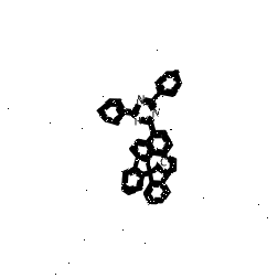 c1ccc(-c2nc(-c3ccccc3)nc(-c3cccc4c5c(ccc34)-c3ccccc3C53c4ccccc4-c4ccccc43)n2)cc1